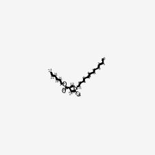 CCCCCCCCCCCCN1CC(C(=O)OCCCCCC)CC1=O